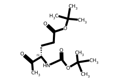 CC(=O)[C@H](CCC(=O)OC(C)(C)C)NC(=O)OC(C)(C)C